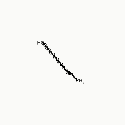 CCCCCCCCCc1ccc(OCCOCCOCCOCCOCCOCCOCCOCCOCCOCCOCCOCCO)cc1